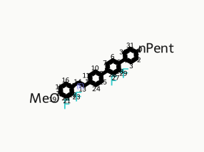 CCCCCc1ccc(-c2ccc(-c3ccc(/C=C/c4ccc(OC)c(F)c4F)cc3)c(F)c2F)cc1